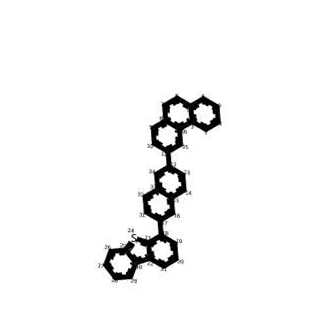 c1ccc2c(c1)ccc1ccc(-c3ccc4cc(-c5cccc6c5sc5ccccc56)ccc4c3)cc12